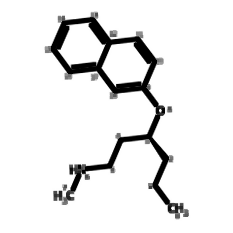 CCC[C@@H](CCNC)Oc1ccc2ccccc2c1